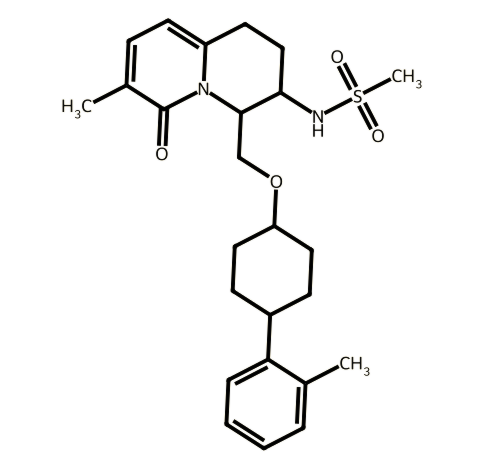 Cc1ccccc1C1CCC(OCC2C(NS(C)(=O)=O)CCc3ccc(C)c(=O)n32)CC1